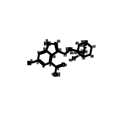 O=C(O)c1cc(Br)cc2[nH]nc(CN[C@H]3CN4CCC3CC4)c12